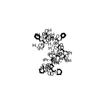 CC[C@H](C)[C@@H](C(=O)N[C@@H](CC(C)C)C(=O)N(C)[C@@H](C)C(=O)N(C)[C@@H](Cc1ccccc1)C(=O)NCC(=O)N[C@@H](C(=O)N[C@H](Cc1ccccc1)C(=O)N(C)CC(C)C)[C@@H](C)O)N(C)C(=O)[C@@H](CC(C)C)NC(=O)[C@H](NC(=O)C[C@H](NC(=O)[C@@H]1CCCN1C=O)C(=O)N1CCCCC1)C(C)C